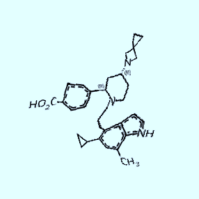 Cc1cc(C2CC2)c(CN2CC[C@@H](N3CC4(CC4)C3)C[C@@H]2c2ccc(C(=O)O)cc2)c2cc[nH]c12